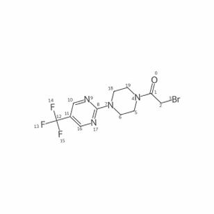 O=C(CBr)N1CCN(c2ncc(C(F)(F)F)cn2)CC1